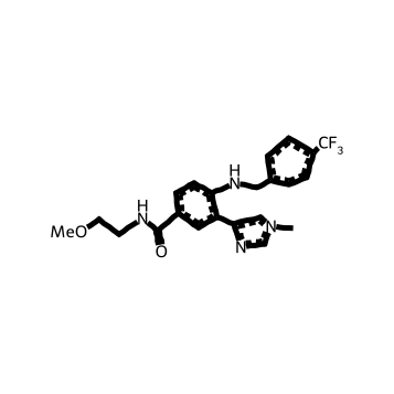 COCCNC(=O)c1ccc(NCc2ccc(C(F)(F)F)cc2)c(-c2cn(C)cn2)c1